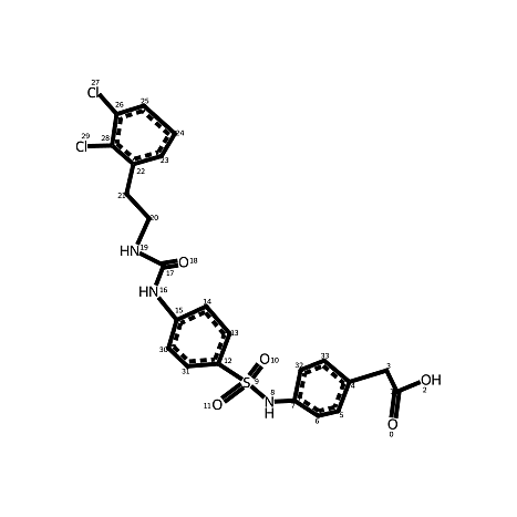 O=C(O)Cc1ccc(NS(=O)(=O)c2ccc(NC(=O)NCCc3cccc(Cl)c3Cl)cc2)cc1